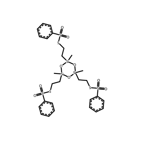 C[Si]1(CCSS(=O)(=O)c2ccccc2)O[Si](C)(CCSS(=O)(=O)c2ccccc2)O[Si](C)(CCSS(=O)(=O)c2ccccc2)O1